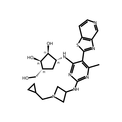 Cc1nc(NC2CN(CC3CC3)C2)nc(N[C@@H]2C[C@H](CO)[C@@H](O)[C@H]2O)c1-c1nc2cnccc2s1